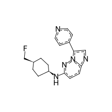 FC[C@H]1CC[C@@H](Nc2ccc3ncc(-c4ccncc4)n3n2)CC1